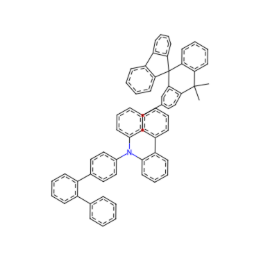 CC1(C)c2ccccc2C2(c3ccccc3-c3ccccc32)c2cc(-c3cccc(N(c4ccc(-c5ccccc5-c5ccccc5)cc4)c4ccccc4-c4ccccc4)c3)ccc21